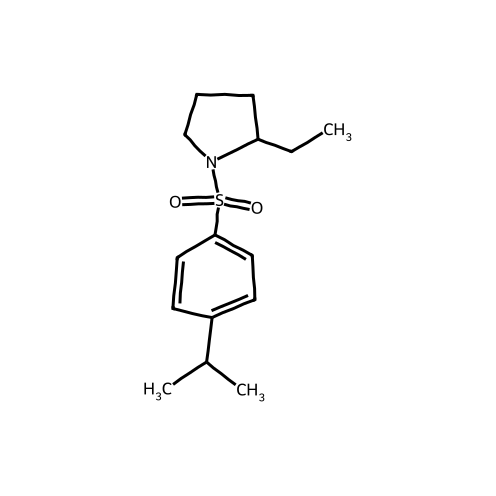 CCC1CCCN1S(=O)(=O)c1ccc(C(C)C)cc1